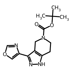 CC(C)(C)OC(=O)N1CCc2[nH]nc(-c3cocn3)c2C1